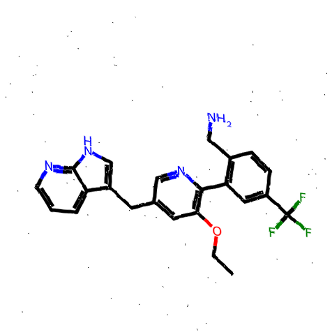 CCOc1cc(Cc2c[nH]c3ncccc23)cnc1-c1cc(C(F)(F)F)ccc1CN